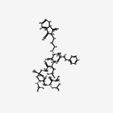 CNC(=O)[C@H](CC(C)C)NC(=O)[C@H](CC(C)C)CP(=O)(O)CNC(=O)[C@H](CC(C)C)NC(=O)[C@H](CCCCN1C(=O)c2ccccc2C1=O)NC(=O)OCc1ccccc1